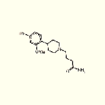 COc1cc(C(C)C)ccc1C1CCN(CCCC(N)=O)CC1